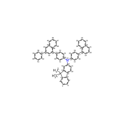 CC1(C)c2ccccc2-c2ccc(N(c3ccc(-c4cccc5ccccc45)cc3)c3ccc(-c4cc(-c5ccccc5)cc5ccccc45)cc3)cc21